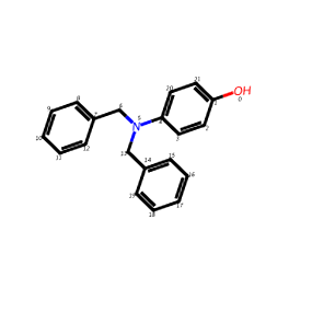 Oc1ccc(N(Cc2ccccc2)Cc2ccccc2)cc1